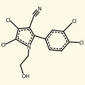 N#Cc1c(Cl)c(Cl)n(CCO)c1-c1ccc(Cl)c(Cl)c1